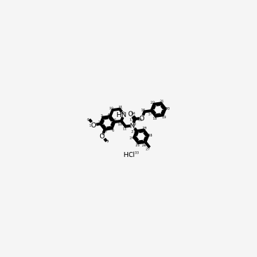 COc1cc2c(cc1OC)C(CN(C(=O)OCc1ccccc1)c1ccc(C)cc1)NCC2.Cl